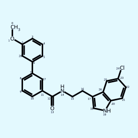 COc1cccc(-c2cccc(C(=O)NCCc3c[nH]c4ccc(Cl)cc34)c2)c1